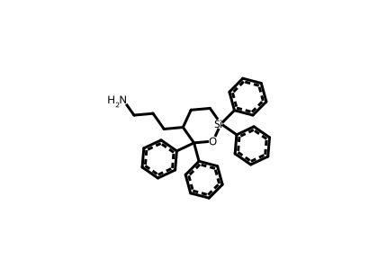 NCCCC1CC[Si](c2ccccc2)(c2ccccc2)OC1(c1ccccc1)c1ccccc1